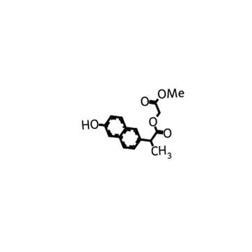 COC(=O)COC(=O)C(C)c1ccc2cc(O)ccc2c1